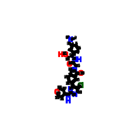 CN(C)Cc1cccc([C@@H](CO)NC(=O)CN2Cc3ccc(-c4nc(NC5CCOCC5)ncc4Cl)cc3C2=O)c1